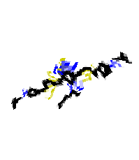 CCCCc1nc2c(-c3cc4sc(-c5ccc(N(C)CC(C)C)cc5)cc4s3)c3nsnc3c(-c3cc4sc(-c5ccc(N(C)CC(C)C)cc5)cc4s3)c2nc1C